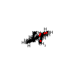 Cn1cnc(CCNc2nc(N[C@H]3CC[C@H](Nc4nc(NCCc5cn(C)cn5)nc5c4ncn5[C@@H]4C[C@H](NC(=O)CO)[C@@H](O)[C@H]4O)CC3)c3ncn([C@@H]4C[C@H](NC(=O)CO)[C@@H](O)[C@H]4O)c3n2)c1